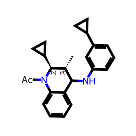 CC(=O)N1c2ccccc2C(Nc2cccc(C3CC3)c2)[C@@H](C)[C@@H]1C1CC1